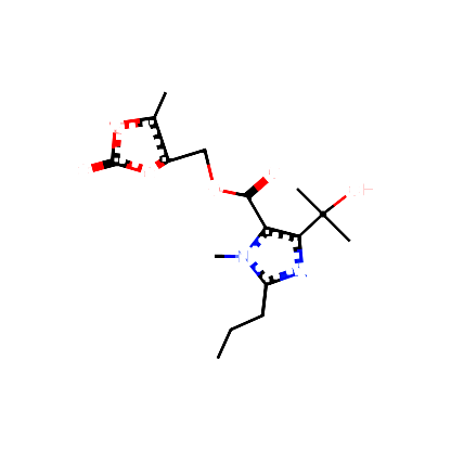 CCCc1nc(C(C)(C)O)c(C(=O)OCc2oc(=O)oc2C)n1C